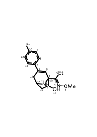 CCC(=NOC)[C@@]12C=C(c3ccc(I)cc3)CC(CC1O)N2